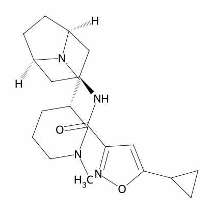 CN1CCC[C@H](CN2[C@@H]3CC[C@H]2C[C@@H](NC(=O)c2cc(C4CC4)on2)C3)C1